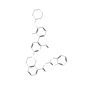 C=Cc1nc(N2CCc3cccc(C(=C)Nc4nc5ccccc5s4)c3C2)ccc1-c1cccc(OC2CCCCC2)c1C